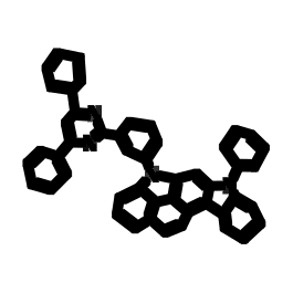 c1ccc(-c2cc(-c3ccccc3)nc(-c3cccc(-n4c5cccc6ccc7c8c9ccccc9n(-c9ccccc9)c8cc4c7c65)c3)n2)cc1